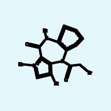 CCc1cn(CC)c2c1N(C(=O)CBr)c1ccccc1N(CC)C2=O